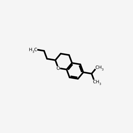 CCCC1CCc2cc(C(C)C)ccc2O1